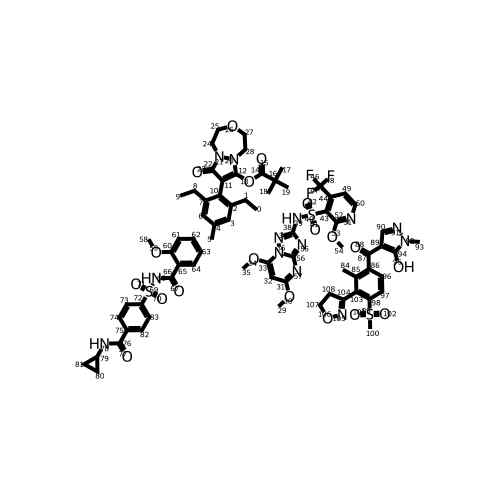 CCc1cc(C)cc(CC)c1-c1c(OC(=O)C(C)(C)C)n2n(c1=O)CCOCC2.COc1cc(OC)n2nc(NS(=O)(=O)c3c(C(F)(F)F)ccnc3OC)nc2n1.COc1ccccc1C(=O)NS(=O)(=O)c1ccc(C(=O)NC2CC2)cc1.Cc1c(C(=O)c2cnn(C)c2O)ccc(S(C)(=O)=O)c1C1=NOCC1